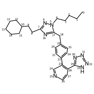 CCCCCn1nc(CCC2CCCCC2)nc1Cc1ccc(-c2cnccc2-c2nnn[nH]2)cc1